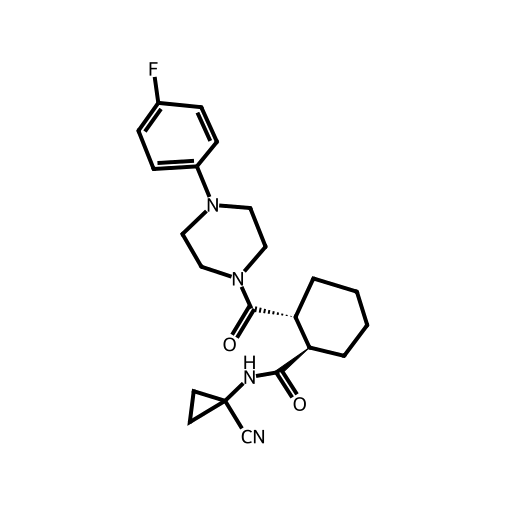 N#CC1(NC(=O)[C@@H]2CCCC[C@H]2C(=O)N2CCN(c3ccc(F)cc3)CC2)CC1